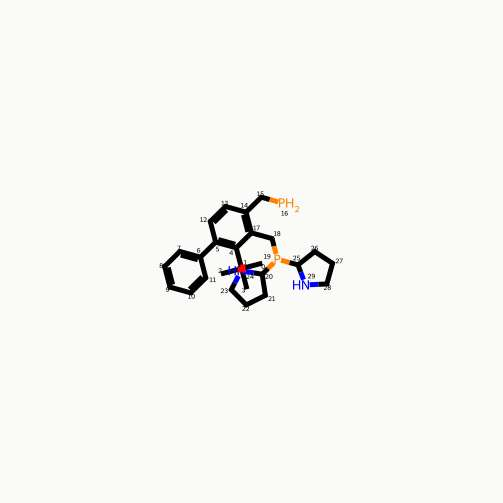 CC(C)(C)c1c(-c2ccccc2)ccc(CP)c1CP(C1CCCN1)C1CCCN1